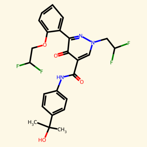 CC(C)(O)c1ccc(NC(=O)c2cn(CC(F)F)nc(-c3ccccc3OCC(F)F)c2=O)cc1